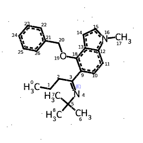 CCC/C(=N\C(C)(C)C)c1ccc2c(ccn2C)c1OCc1ccccc1